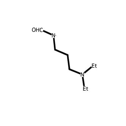 CCN(CC)CCC[N]C=O